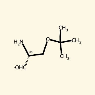 CC(C)(C)OC[C@@H](N)[C]=O